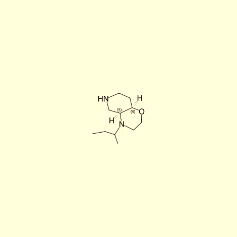 CCC(C)N1CCO[C@@H]2CCNC[C@@H]21